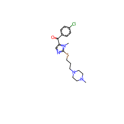 CN1CCN(CCCSc2ncc(C(=O)c3ccc(Cl)cc3)n2C)CC1